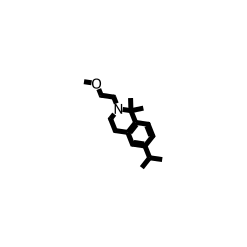 COCCN1CCc2cc(C(C)C)ccc2C1(C)C